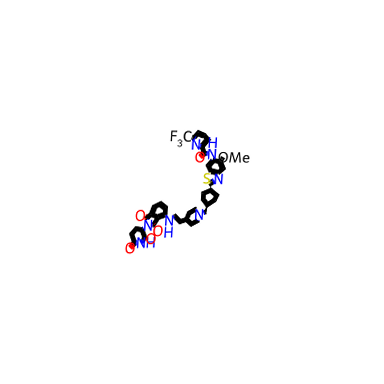 COc1cc2nc([C@H]3CC[C@H](CN4CCC(CCNc5cccc6c5C(=O)N(C5CCC(=O)NC5=O)C6=O)CC4)CC3)sc2cc1NC(=O)c1cccc(C(F)(F)F)n1